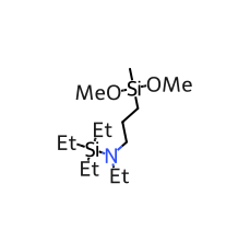 CCN(CCC[Si](C)(OC)OC)[Si](CC)(CC)CC